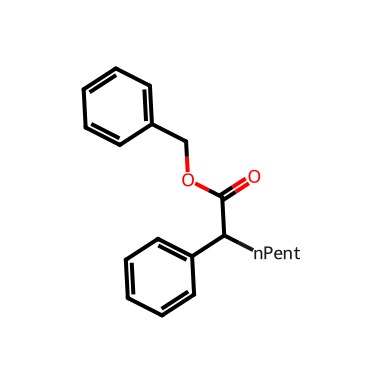 CCCCCC(C(=O)OCc1ccccc1)c1ccccc1